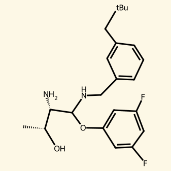 C[C@@H](O)[C@H](N)C(NCc1cccc(CC(C)(C)C)c1)Oc1cc(F)cc(F)c1